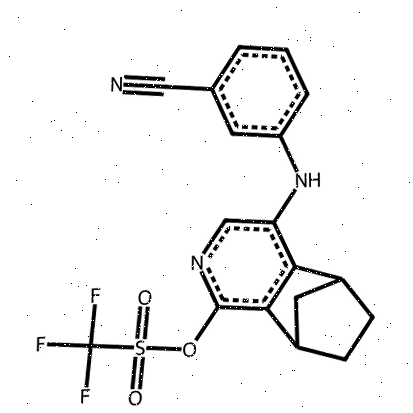 N#Cc1cccc(Nc2cnc(OS(=O)(=O)C(F)(F)F)c3c2C2CCC3C2)c1